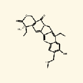 CCc1c2c(nc3cc(CNC)c(O)cc13)-c1cc3c(c(=O)n1C2)COC(=O)[C@]3(O)CC